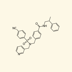 CC(CNC(=O)c1ccc(CN(Cc2cccnc2)S(=O)(=O)c2ccc(C#N)cc2)cc1)c1ccccc1